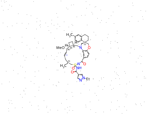 CCn1cc(C(=O)N[S@@]2(=O)=NC(=O)c3ccc4c(c3)N(C[C@@H]3CC[C@H]3[C@@H](OC)/C=C/C[C@H](C)C2)C[C@@]2(CCCc3cc(C)ccc32)CO4)cn1